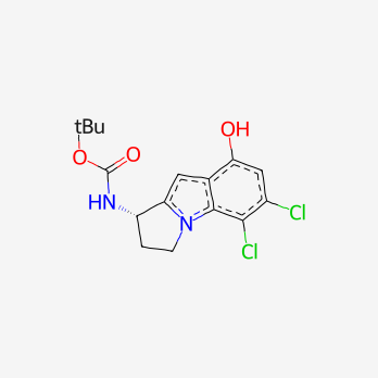 CC(C)(C)OC(=O)N[C@H]1CCn2c1cc1c(O)cc(Cl)c(Cl)c12